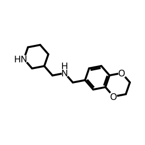 c1cc2c(cc1CNCC1CCCNC1)OCCO2